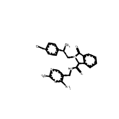 Cc1ncc(CNC(=O)C2c3ccccc3C(=O)N2CC(C)c2ccc(Cl)cc2)c(N)n1